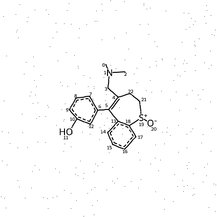 CN(C)CC1=C(c2cccc(O)c2)c2ccccc2[S+]([O-])CC1